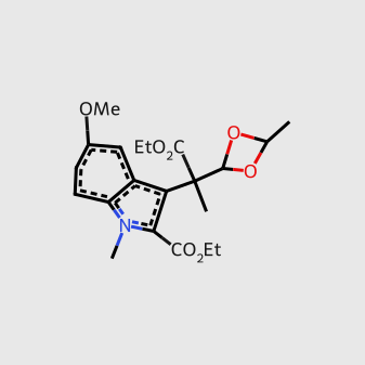 CCOC(=O)c1c(C(C)(C(=O)OCC)C2OC(C)O2)c2cc(OC)ccc2n1C